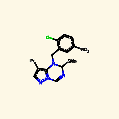 CSC1N=Cn2ncc(C(C)C)c2N1Cc1cc([N+](=O)[O-])ccc1Cl